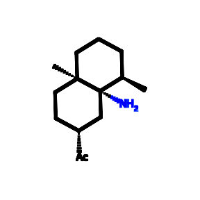 CC(=O)[C@@H]1CC[C@@]2(C)CCC[C@@H](C)[C@@]2(N)C1